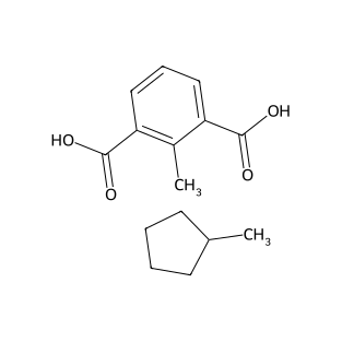 CC1CCCC1.Cc1c(C(=O)O)cccc1C(=O)O